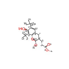 COC(=O)CCC(Cc1cc(C(C)(C)C)c(O)c(C(C)(C)C)c1)C(=O)OC